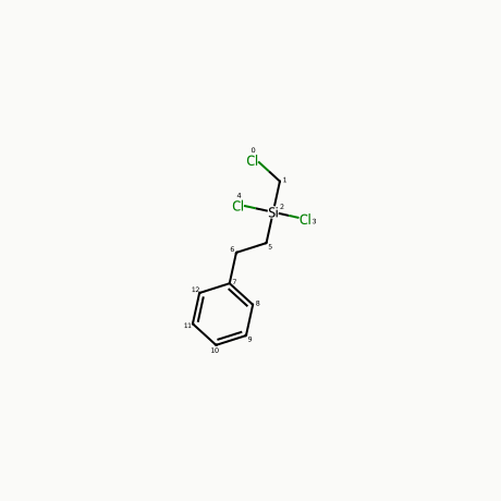 ClC[Si](Cl)(Cl)CCc1ccccc1